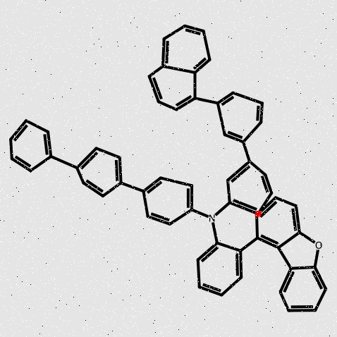 c1ccc(-c2ccc(-c3ccc(N(c4cccc(-c5cccc(-c6cccc7ccccc67)c5)c4)c4ccccc4-c4cccc5oc6ccccc6c45)cc3)cc2)cc1